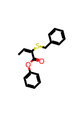 CC=C(SCc1ccccc1)C(=O)Oc1ccccc1